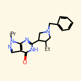 CCC1CN(Cc2ccccc2)CC1c1nc2c(cnn2C(C)C)c(=O)[nH]1